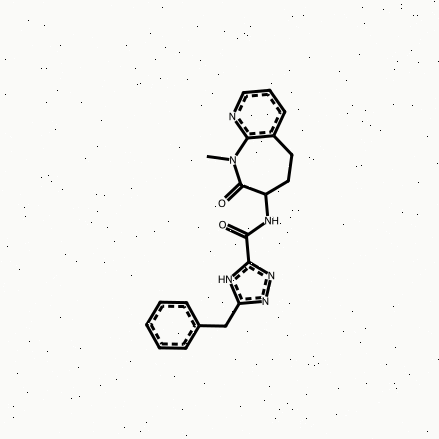 CN1C(=O)C(NC(=O)c2nnc(Cc3ccccc3)[nH]2)CCc2cccnc21